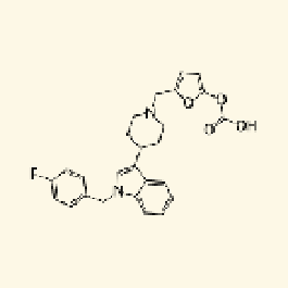 O=C(O)Oc1ccc(CN2CCC(c3cn(Cc4ccc(F)cc4)c4ccccc34)CC2)o1